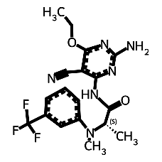 CCOc1nc(N)nc(NC(=O)[C@H](C)N(C)c2cccc(C(F)(F)F)c2)c1C#N